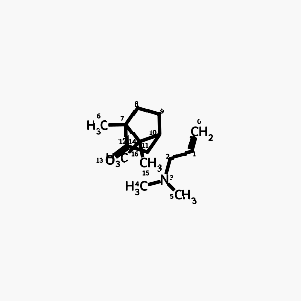 C=CCN(C)C.CC12CCC(CC1=O)C2(C)C